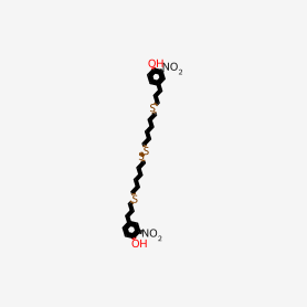 O=[N+]([O-])c1cc(CCCSCCCCCCSSCCCCCCSCCCc2ccc(O)c([N+](=O)[O-])c2)ccc1O